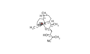 C=C(C#N)[C@@H](O)C[C@H]1O[C@@H]2O[C@]3(C)CC[C@H]4[C@H](C)CC[C@@H]([C@H]1C)[C@@]24OO3